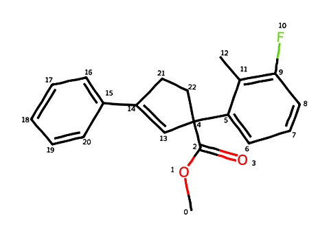 COC(=O)C1(c2cccc(F)c2C)C=C(c2ccccc2)CC1